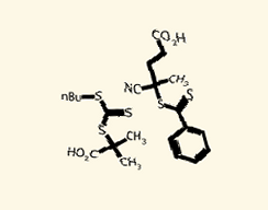 CC(C#N)(CCC(=O)O)SC(=S)c1ccccc1.CCCCSC(=S)SC(C)(C)C(=O)O